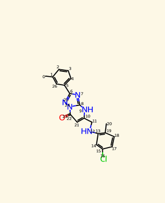 Cc1cccc(-c2nc3[nH]c(CNc4cc(Cl)ccc4C)cc(=O)n3n2)c1